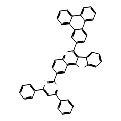 c1ccc(-c2cc(-c3ccccc3)nc(-c3ccc4nc(-c5ccc6c7ccccc7c7ccccc7c6c5)c5c6ccccc6oc5c4c3)n2)cc1